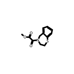 COC(=O)C(=O)N1CCSc2ccccc2C1